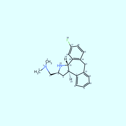 CN(C)C[C@@H]1C[C@@H]2c3ccccc3Cc3ccc(F)cc3[C@H]2N1